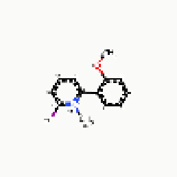 COc1ccccc1-c1cccc(I)[n+]1C